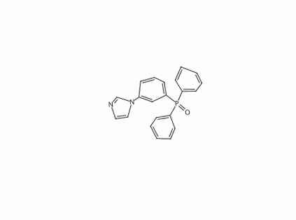 O=P(c1ccccc1)(c1ccccc1)c1cccc(-n2ccnc2)c1